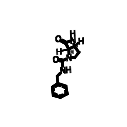 O=C1N[C@@H]2CCN(C(=O)NCc3ccccc3)[C@H]12